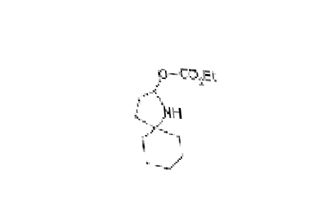 CCOC(=O)OC1CCC2(CCCCC2)N1